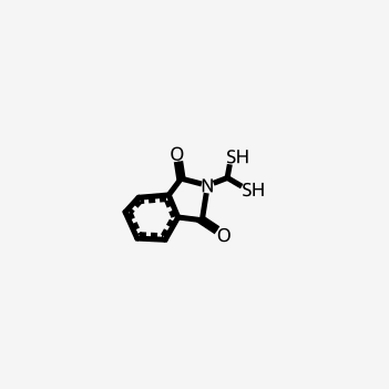 O=C1c2ccccc2C(=O)N1C(S)S